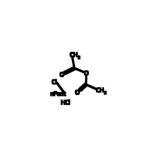 CC(=O)OC(C)=O.CCCCCCl.Cl